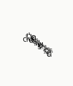 CC1(Cl)C=CC=CC1S(=O)(=O)N1CCN(c2nc(Cc3ccc(Cl)c(F)c3)cs2)CC1